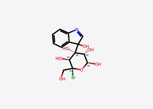 OC[C@@]1(Br)O[C@H](O)[C@@H](O)[C@](O)(C2(O)C=Nc3ccccc32)[C@@H]1O